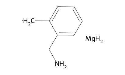 [CH2]c1ccccc1CN.[MgH2]